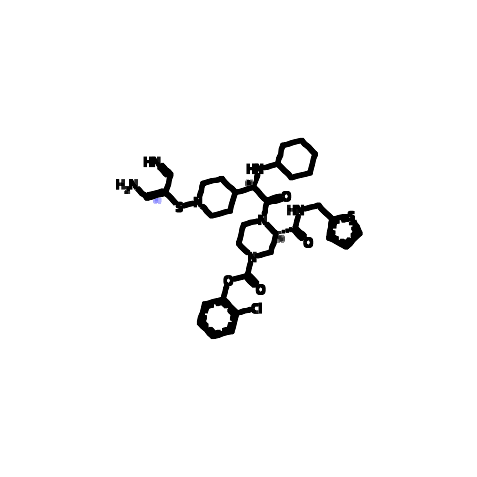 N=C/C(=C\N)SN1CCC([C@@H](NC2CCCCC2)C(=O)N2CCN(C(=O)Oc3ccccc3Cl)C[C@H]2C(=O)NCc2cccs2)CC1